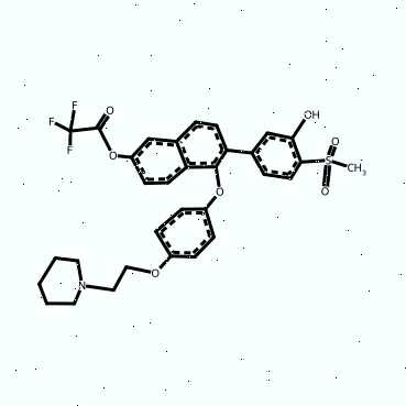 CS(=O)(=O)c1ccc(-c2ccc3cc(OC(=O)C(F)(F)F)ccc3c2Oc2ccc(OCCN3CCCCC3)cc2)cc1O